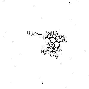 C=C1C=CC(=O)[C@]2(O[Si](C)(C)C(C)(C)C)C(=O)c3c(OCCCC)noc3C(N(C)C)[C@H]12